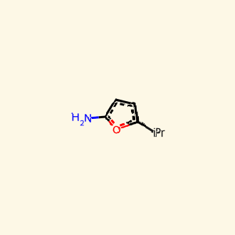 CC(C)c1ccc(N)o1